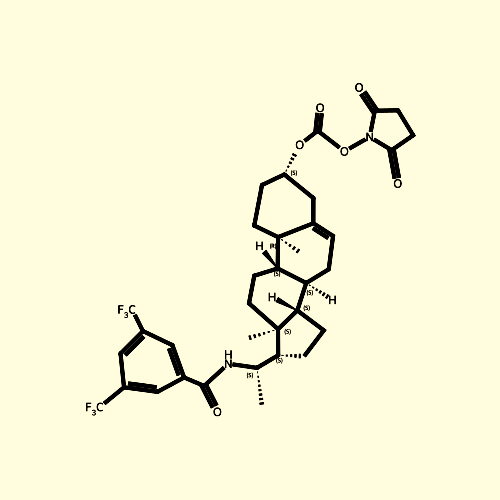 C[C@H](NC(=O)c1cc(C(F)(F)F)cc(C(F)(F)F)c1)[C@H]1CC[C@H]2[C@@H]3CC=C4C[C@@H](OC(=O)ON5C(=O)CCC5=O)CC[C@]4(C)[C@H]3CC[C@]12C